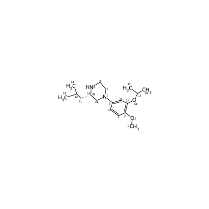 COc1ccc(N2CCN[C@@H](CC(C)C)C2)cc1OC(C)C